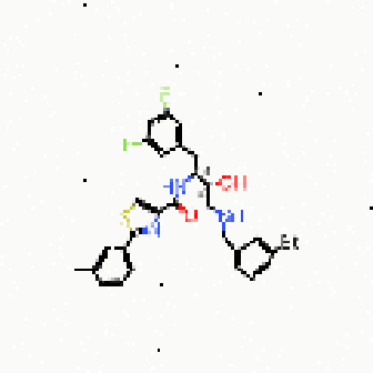 CCc1cccc(CNC[C@H](O)[C@H](Cc2cc(F)cc(F)c2)NC(=O)c2csc(-c3cccc(C)c3)n2)c1